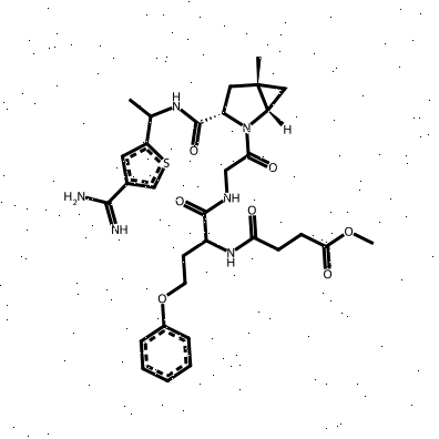 COC(=O)CCC(=O)NC(CCOc1ccccc1)C(=O)NCC(=O)N1[C@H]2C[C@@]2(C)C[C@H]1C(=O)NC(C)c1cc(C(=N)N)cs1